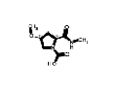 CNC(=O)[C@@H]1C[C@@H](OC)CN1C(=O)O